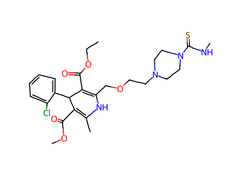 CCOC(=O)C1=C(COCCN2CCN(C(=S)NC)CC2)NC(C)=C(C(=O)OC)C1c1ccccc1Cl